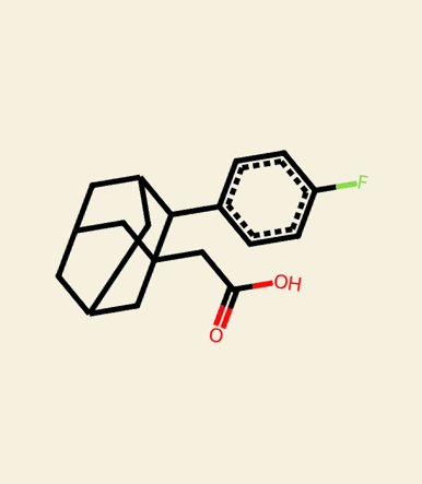 O=C(O)CC12CC3CC(CC(C3)C1c1ccc(F)cc1)C2